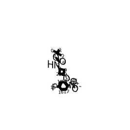 CC(C)(C)OC(=O)N[C@H]1C[C@H](Oc2cc(F)ccc2[N+](=O)[O-])C1